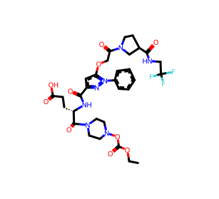 CCOC(=O)ON1CCN(C(=O)[C@H](CCC(=O)O)NC(=O)c2cc(OCC(=O)N3CCC(C(=O)NCC(F)(F)F)C3)n(-c3ccccc3)n2)CC1